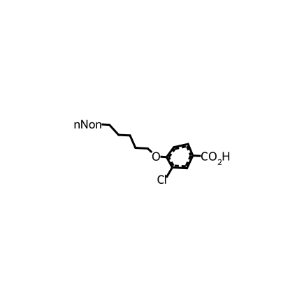 CCCCCCCCCCCCCCOc1ccc(C(=O)O)cc1Cl